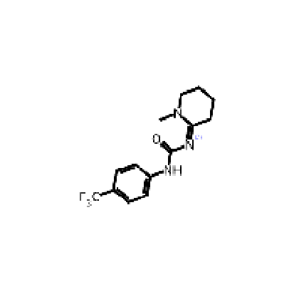 CN1CCCC/C1=N/C(=O)Nc1ccc(C(F)(F)F)cc1